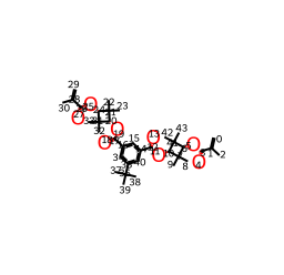 C=C(C)C(=O)OC1C(C)(C)C(OC(=O)c2cc(C(=O)OC3C(C)(C)C(OC(=O)C(=C)C)C3(C)C)cc(C(C)(C)C)c2)C1(C)C